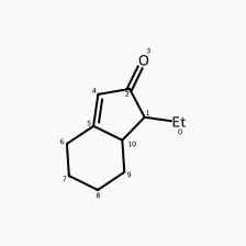 CCC1C(=O)C=C2CCCCC21